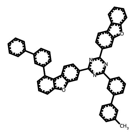 Cc1cccc(-c2cccc(-c3nc(-c4ccc5c(c4)oc4ccccc45)nc(-c4ccc5c(c4)oc4cccc(-c6cccc(-c7ccccc7)c6)c45)n3)c2)c1